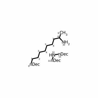 CCCCCCCCCCCCCCCCCC(C)N.CCCCCCCCCCNCCCCCCCCCC